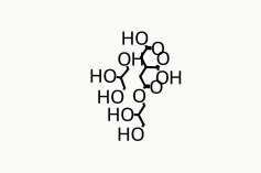 O=C(O)CC(CC(=O)OCC(O)CO)C(=O)O.OCC(O)CO